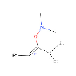 CCC(CC)/C(=C/C(C)C)ON(C)C